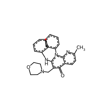 Cc1ccc2c(=O)c(CN3CCOCC3)c(Nc3ccccc3)n(-c3ccccc3)c2n1